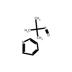 CC(C)(C)P=O.c1ccncc1